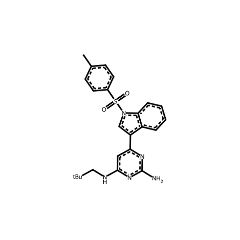 Cc1ccc(S(=O)(=O)n2cc(-c3cc(NCC(C)(C)C)nc(N)n3)c3ccccc32)cc1